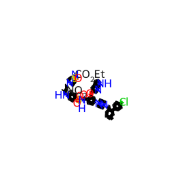 CCOC(=O)N=S1(=O)CCN(CC[C@H](C)Nc2ccc(S(=O)(=O)NC(=O)c3ccc(N4CCN(CC5=C(c6ccc(Cl)cc6)CC(C)(C)CC5)CC4)cc3Oc3cnc4[nH]ccc4c3)cc2[N+](=O)[O-])CC1